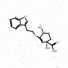 O=C(O)[C@]1(O)C=C(CCCc2csc3ccccc23)[C@@H](O)CC1